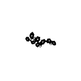 c1ccc(N(c2ccccc2)c2cccc3c2oc2cccc(-c4cccc5oc6cc(-c7ccc8c(c7)oc7ccccc78)ccc6c45)c23)cc1